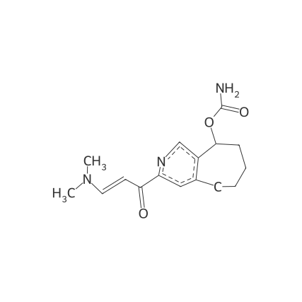 CN(C)C=CC(=O)c1cc2c(cn1)C(OC(N)=O)CCCC2